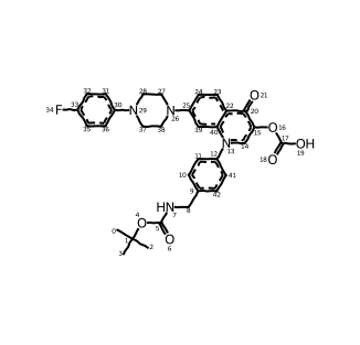 CC(C)(C)OC(=O)NCc1ccc(-n2cc(OC(=O)O)c(=O)c3ccc(N4CCN(c5ccc(F)cc5)CC4)cc32)cc1